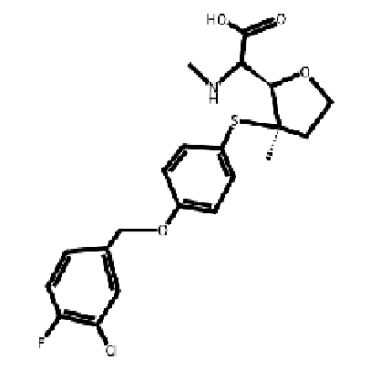 CNC(C(=O)O)[C@H]1OCC[C@@]1(C)Sc1ccc(OCc2ccc(F)c(Cl)c2)cc1